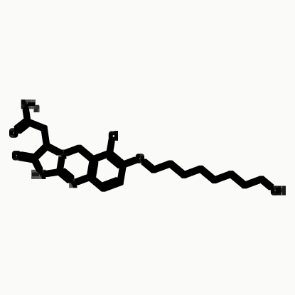 NC(=O)CC1C(=O)NC2=Nc3ccc(OCCCCCCCCO)c(Cl)c3CN21